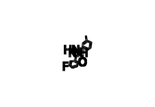 Cc1cccc([C@H]2NN=C3c4cc(F)ccc4OC[C@@H]32)c1